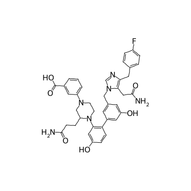 NC(=O)CCC1CN(c2cccc(C(=O)O)c2)CCN1c1cc(O)ccc1-c1cc(O)cc(Cn2cnc(Cc3ccc(F)cc3)c2CC(N)=O)c1